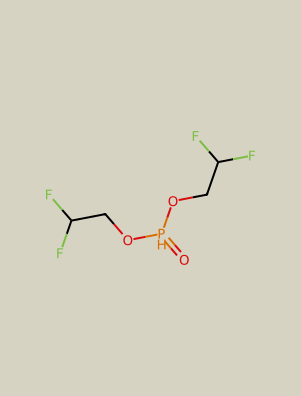 O=[PH](OCC(F)F)OCC(F)F